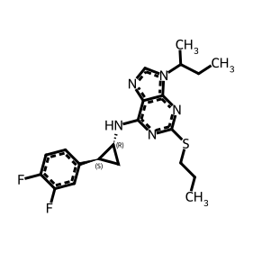 CCCSc1nc(N[C@@H]2C[C@H]2c2ccc(F)c(F)c2)c2ncn(C(C)CC)c2n1